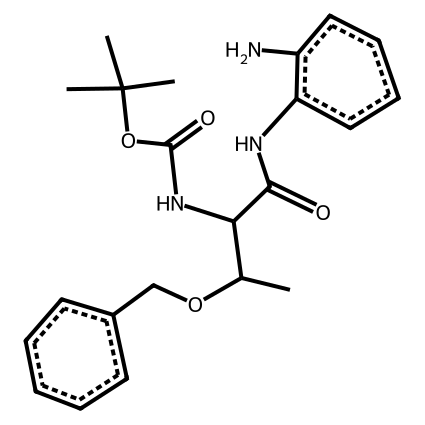 CC(OCc1ccccc1)C(NC(=O)OC(C)(C)C)C(=O)Nc1ccccc1N